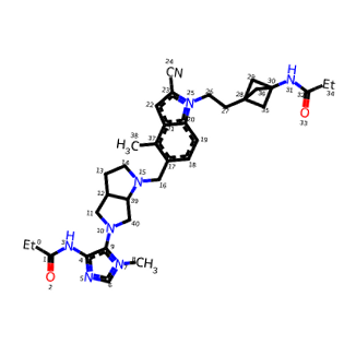 CCC(=O)Nc1ncn(C)c1N1CC2CCN(Cc3ccc4c(cc(C#N)n4CCC45CC(NC(=O)CC)(C4)C5)c3C)C2C1